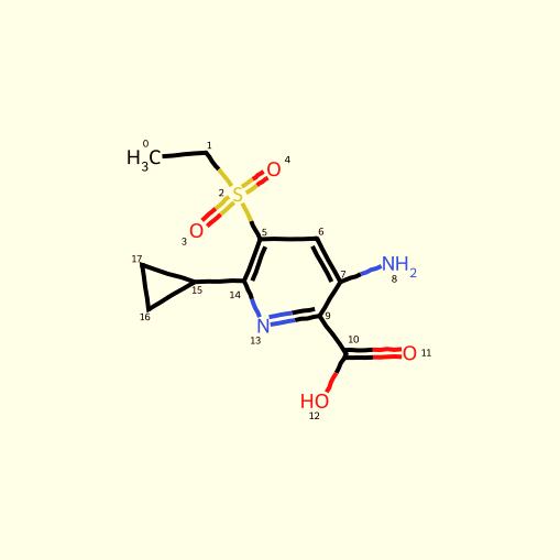 CCS(=O)(=O)c1cc(N)c(C(=O)O)nc1C1CC1